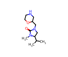 CC(C)C1CN(CC2CNCCO2)C(=O)N1C